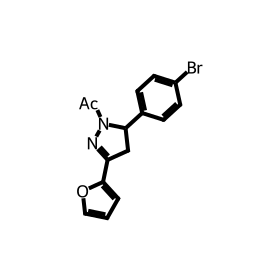 CC(=O)N1N=C(c2ccco2)CC1c1ccc(Br)cc1